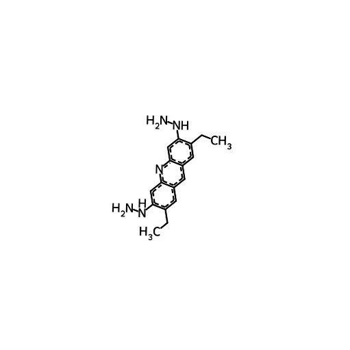 CCc1cc2cc3cc(CC)c(NN)cc3nc2cc1NN